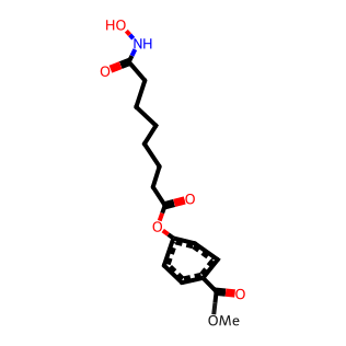 COC(=O)c1ccc(OC(=O)CCCCCCC(=O)NO)cc1